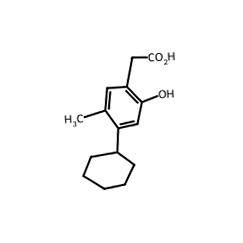 Cc1cc(CC(=O)O)c(O)cc1C1CCCCC1